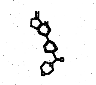 O=C(c1ccc(-c2cnc3c(c2)CCN3)cc1)N1CCOCC1